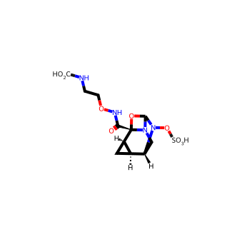 O=C(O)NCCONC(=O)[C@@]12OC3N(OS(=O)(=O)O)[C@H](CN31)[C@H]1C[C@H]12